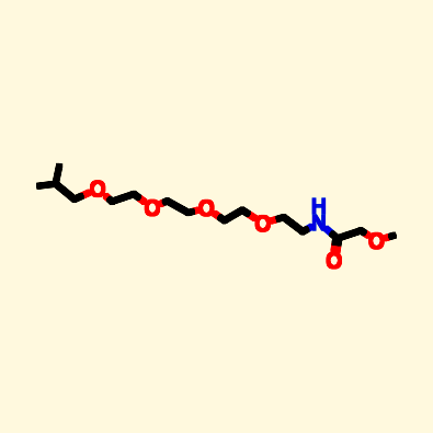 COCC(=O)NCCOCCOCCOCCOCC(C)C